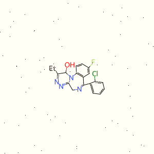 CCC1=NN=C2CN=C(c3ccccc3Cl)c3cc(F)ccc3N2C1O